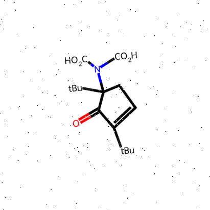 CC(C)(C)C1=CCC(N(C(=O)O)C(=O)O)(C(C)(C)C)C1=O